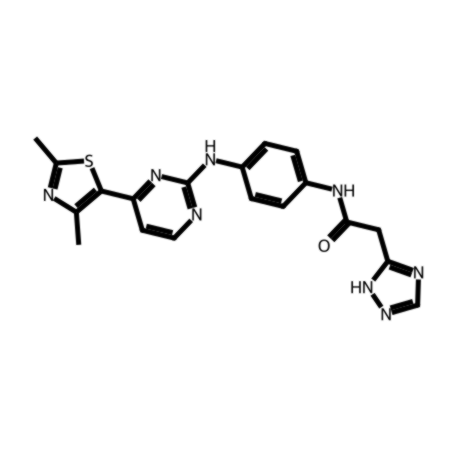 Cc1nc(C)c(-c2ccnc(Nc3ccc(NC(=O)Cc4ncn[nH]4)cc3)n2)s1